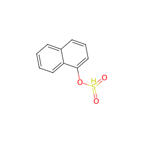 O=[SH](=O)Oc1cccc2ccccc12